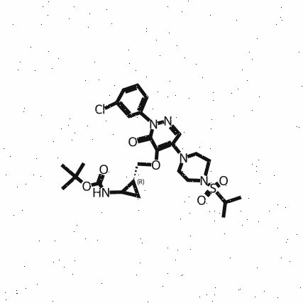 CC(C)S(=O)(=O)N1CCN(c2cnn(-c3cccc(Cl)c3)c(=O)c2OC[C@@H]2CC2NC(=O)OC(C)(C)C)CC1